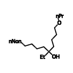 [CH2]CCOCCCCC(O)(CC)CCCCCCCCCCCCC